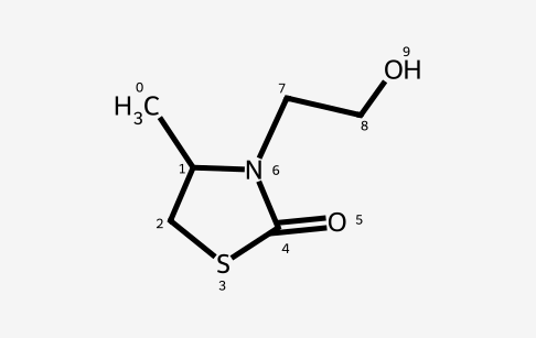 CC1CSC(=O)N1CCO